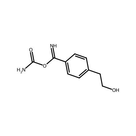 N=C(OC(N)=O)c1ccc(CCO)cc1